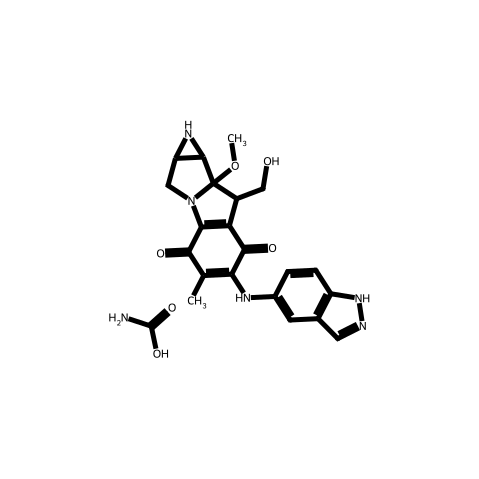 COC12C(CO)C3=C(C(=O)C(C)=C(Nc4ccc5[nH]ncc5c4)C3=O)N1CC1NC12.NC(=O)O